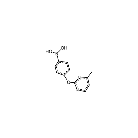 Cc1ccnc(Oc2ccc(B(O)O)cc2)n1